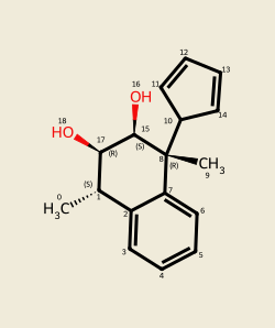 C[C@H]1c2ccccc2[C@@](C)(C2C=CC=C2)[C@H](O)[C@@H]1O